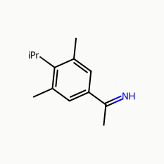 CC(=N)c1cc(C)c(C(C)C)c(C)c1